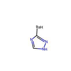 [RaH][c]1nc[nH]n1